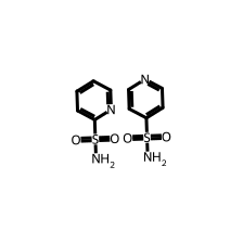 NS(=O)(=O)c1ccccn1.NS(=O)(=O)c1ccncc1